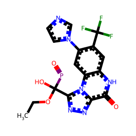 CCOC(O)(P=O)c1nnc2c(=O)[nH]c3cc(C(F)(F)F)c(-n4ccnc4)cc3n12